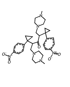 CN1CCN(CC(C(=O)C(CN2CCN(C)CC2)C2(c3ccc([N+](=O)[O-])cc3)CC2)C2(c3ccc([N+](=O)[O-])cc3)CC2)CC1